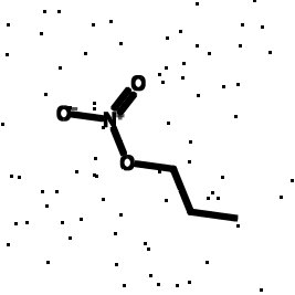 CCCO[N+](=O)[O-]